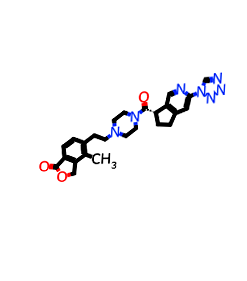 Cc1c(CCN2CCN(C(=O)[C@H]3CCc4cc(-n5cnnn5)ncc43)CC2)ccc2c1COC2=O